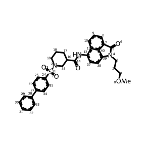 COCCCN1C(=O)c2cccc3c(NC(=O)C4CCCN(S(=O)(=O)c5ccc(-c6ccccc6)cc5)C4)ccc1c23